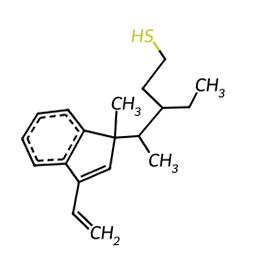 C=CC1=CC(C)(C(C)C(CC)CCS)c2ccccc21